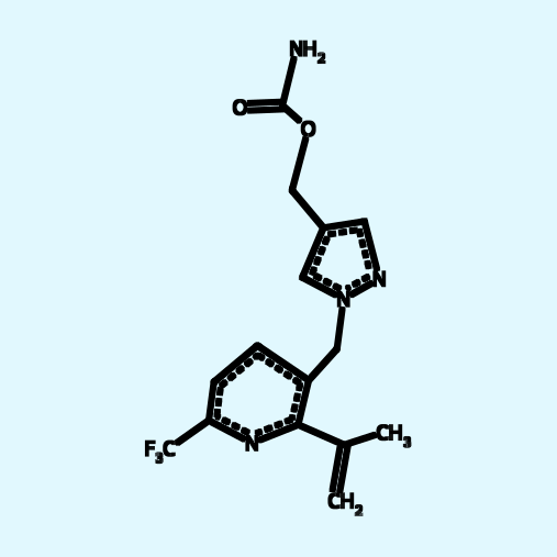 C=C(C)c1nc(C(F)(F)F)ccc1Cn1cc(COC(N)=O)cn1